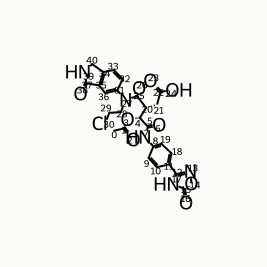 CC(=O)O[C@@H](C(=O)Nc1ccc(-c2noc(=O)[nH]2)cc1)[C@@H](CC(=O)O)C(=O)N(CCCl)c1ccc2c(c1)C(=O)NC2